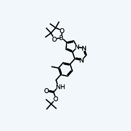 Cc1cc(-c2ncnn3cc(B4OC(C)(C)C(C)(C)O4)cc23)ccc1CNC(=O)OC(C)(C)C